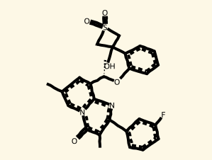 Cc1cc([C@H](C)Oc2ccccc2C2(O)CS(=O)(=O)C2)c2nc(-c3cccc(F)c3)c(C)c(=O)n2c1